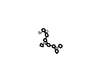 Brc1cccc2oc3ccc(-c4ccc5c(c4)c4cc(-c6ccc7c(c6)c6ccccc6n7-c6ccccc6)ccc4n5-c4ccccc4)cc3c12